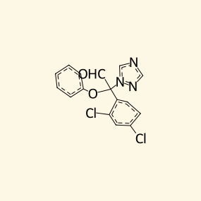 O=CC(Oc1ccccc1)(c1ccc(Cl)cc1Cl)n1cncn1